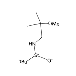 COC(C)(C)CN[S+]([O-])C(C)(C)C